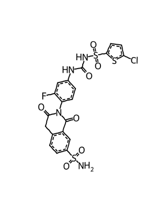 NS(=O)(=O)c1ccc2c(c1)C(=O)N(c1ccc(NC(=O)NS(=O)(=O)c3ccc(Cl)s3)cc1F)C(=O)C2